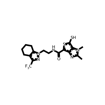 Cc1nc2c(C(=O)NCCn3nc(C(F)(F)F)c4c3CCCC4)sc(S)c2n1C